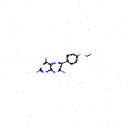 CCOc1ccc(-c2nc3c(N)nc(N)nc3nc2N)cc1